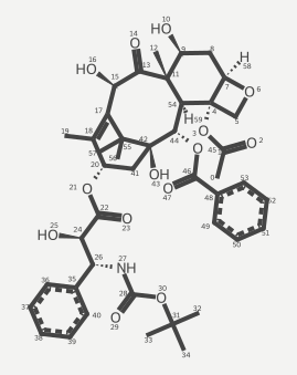 CC(=O)O[C@@]12CO[C@@H]1C[C@H](O)[C@@]1(C)C(=O)[C@H](O)C3=C(C)[C@@H](OC(=O)[C@H](O)[C@H](NC(=O)OC(C)(C)C)c4ccccc4)C[C@@](O)([C@@H](OC(=O)c4ccccc4)[C@H]21)C3(C)C